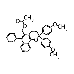 COc1ccc(C2(c3ccc(OC)cc3)C=Cc3c(COC(C)=O)c(-c4ccccc4)c4ccccc4c3O2)cc1